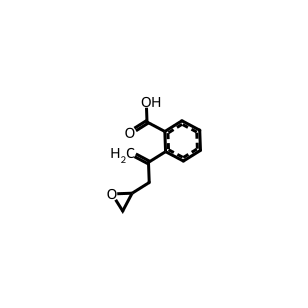 C=C(CC1CO1)c1ccccc1C(=O)O